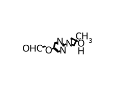 CC1(O)CN(c2ncc(OCC=O)cn2)C1